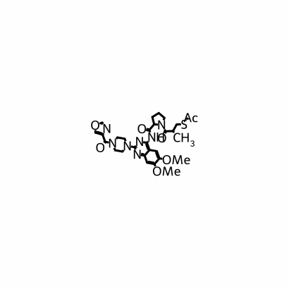 COc1cc2nc(N3CCN(C(=O)c4cocn4)CC3)nc(NC(=O)C3CCCN3C(=O)C(C)CSC(C)=O)c2cc1OC